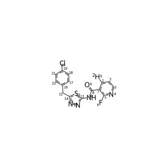 [2H]c1ccnc(F)c1C(=O)Nc1nnc(Cc2ccc(Cl)cc2)s1